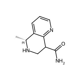 C[C@H]1NCC(C(N)=O)c2ncccc21